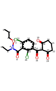 CCCON(CC)C(=O)c1c(Cl)ccc(C(=O)C2C(=O)CCCC2=O)c1Cl